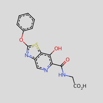 O=C(O)CNC(=O)c1ncc2nc(Oc3ccccc3)sc2c1O